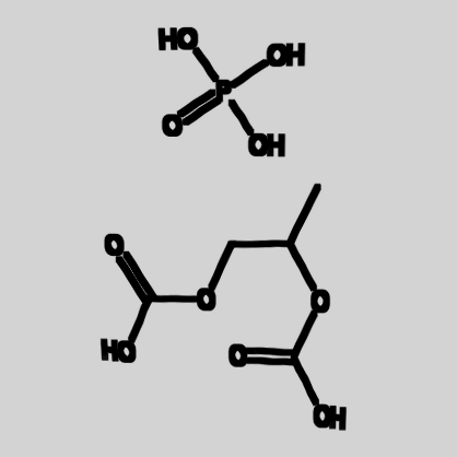 CC(COC(=O)O)OC(=O)O.O=P(O)(O)O